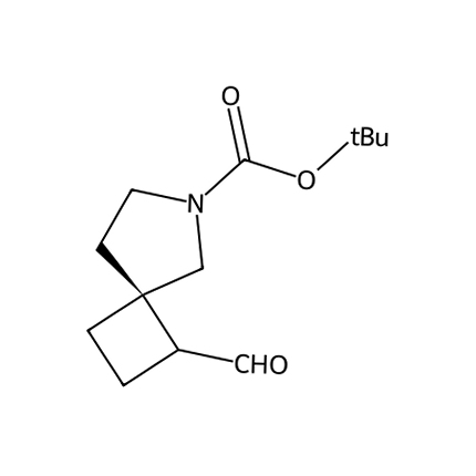 CC(C)(C)OC(=O)N1CC[C@@]2(CCC2C=O)C1